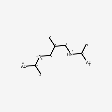 CC(=O)C(C)NCC(C)CNC(C)C(C)=O